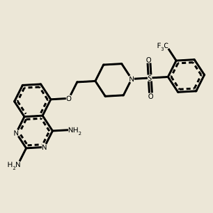 Nc1nc(N)c2c(OCC3CCN(S(=O)(=O)c4ccccc4C(F)(F)F)CC3)cccc2n1